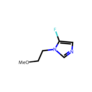 COCCn1cncc1F